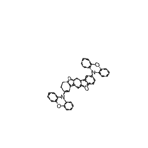 C1=C(N2c3ccccc3Oc3ccccc32)CCc2oc3cc4c(cc3c21)oc1ccc(N2c3ccccc3Oc3ccccc32)cc14